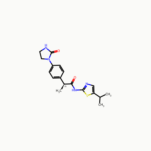 CC(C)c1cnc(NC(=O)[C@@H](C)c2ccc(N3CCNC3=O)cc2)s1